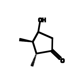 C[C@H]1C(=O)CC(O)[C@@H]1C